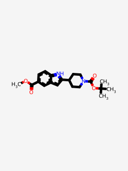 COC(=O)c1ccc2[nH]c(C3CCN(C(=O)OC(C)(C)C)CC3)cc2c1